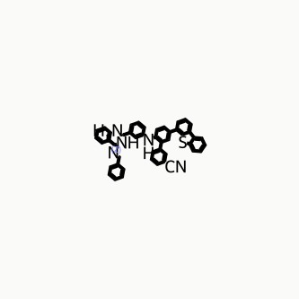 N#Cc1cccc(-c2cc(-c3cccc4c3sc3ccccc34)ccc2Nc2cccc(C(N)N/C(=N\Cc3ccccc3)c3ccccc3)c2)c1